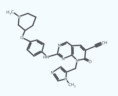 C#Cc1cc2cnc(Nc3ccc(OC4CCCN(C)C4)cc3)nc2n(Cc2cncn2C)c1=O